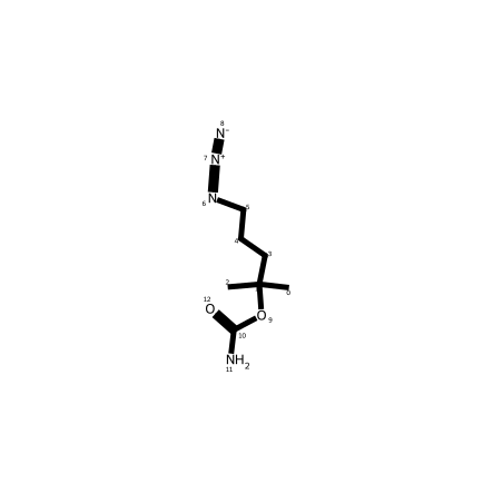 CC(C)(CCCN=[N+]=[N-])OC(N)=O